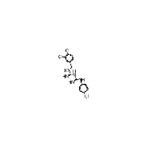 N=C(NCc1ccc(Cl)c(Cl)c1)NC(=N)Nc1ccc(Cl)cc1